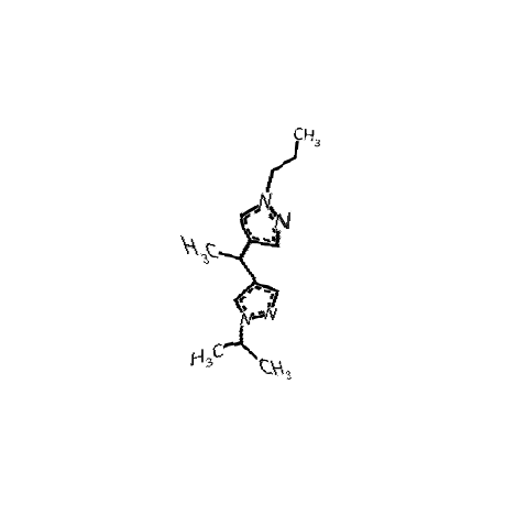 CCCn1cc([C](C)c2cnn(C(C)C)c2)cn1